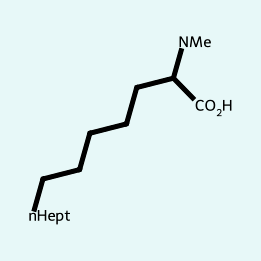 CCCCCCCCCCCCC(NC)C(=O)O